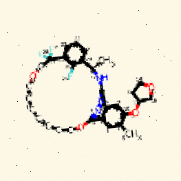 Cc1cc2c3nnc(c2cc1OC1CCOC1)N[C@H](C)c1cccc(c1F)C(F)(F)COCCCCCCCO3